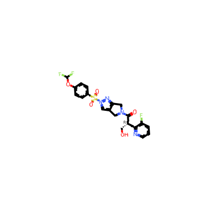 O=C([C@@H](CO)c1ncccc1F)N1Cc2cn(S(=O)(=O)c3ccc(OC(F)F)cc3)nc2C1